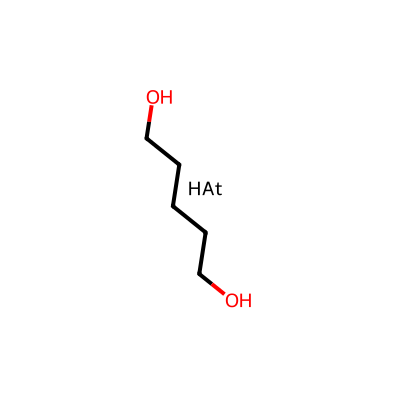 OCCCCCO.[AtH]